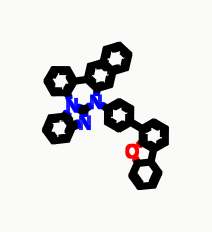 C1=CC2Oc3c(-c4ccc(N5c6cc7ccccc7cc6-c6ccccc6-n6c5nc5ccccc56)cc4)cccc3C2C=C1